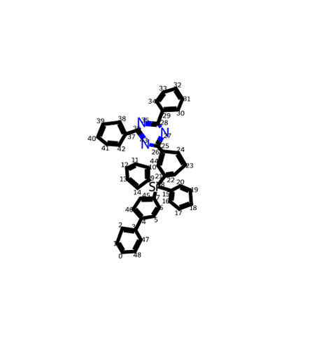 c1ccc(-c2ccc([Si](c3ccccc3)(c3ccccc3)c3cccc(-c4nc(-c5ccccc5)nc(-c5ccccc5)n4)c3)cc2)cc1